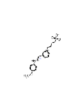 COc1ccc(N/N=C/c2ccc[n+](CCCCS(=O)(=O)[O-])c2)cc1